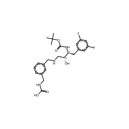 CC(C)(C)OC(=O)N[C@@H](Cc1cc(F)cc(F)c1)[C@H](O)CNCc1cccc(CNC(=O)O)c1